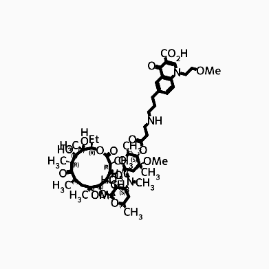 CC[C@H]1OC(=O)[C@H](C)[C@@H](O[C@H]2C[C@@](C)(OC)[C@@H](OC(=O)CCNCCCc3ccc4c(c3)c(=O)c(C(=O)O)cn4CCOC)[C@H](C)O2)[C@H](C)[C@@H](O[C@@H]2O[C@H](C)C[C@H](N(C)C)[C@@H]2O)[C@](C)(OC)C[C@@H](C)C(=O)[C@H](C)[C@@H](O)[C@]1(C)O